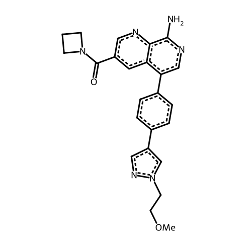 COCCn1cc(-c2ccc(-c3cnc(N)c4ncc(C(=O)N5CCC5)cc34)cc2)cn1